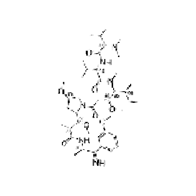 CC[C@H](C)[C@@H]([C@@H](CC(=O)N1C[C@H](OC)CC1[C@H](OC)[C@@H](C)C(=O)N[C@H](C)C(=N)c1cccc(OC)c1)OC)N(C)C(=O)[C@@H](NC(=O)[C@H](C(C)C)N(C)C)C(C)C